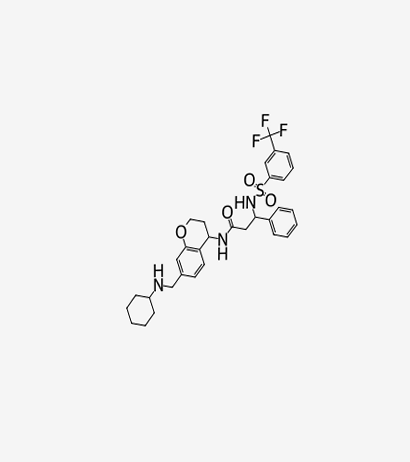 O=C(CC(NS(=O)(=O)c1cccc(C(F)(F)F)c1)c1ccccc1)NC1CCOc2cc(CNC3CCCCC3)ccc21